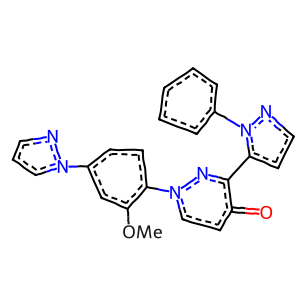 COc1cc(-n2cccn2)ccc1-n1ccc(=O)c(-c2ccnn2-c2ccccc2)n1